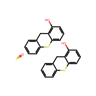 O=S.Oc1cccc2c1Cc1ccccc1S2.Oc1cccc2c1Cc1ccccc1S2